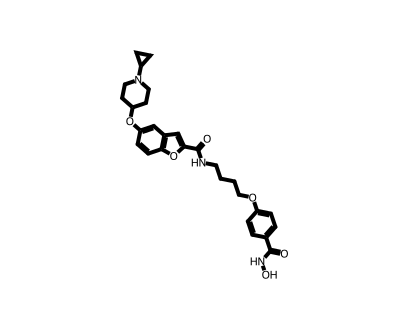 O=C(NO)c1ccc(OCCCCNC(=O)c2cc3cc(OC4CCN(C5CC5)CC4)ccc3o2)cc1